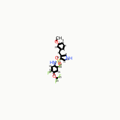 COc1cccc(Cc2c[nH]cc2S(=O)(=O)Nc2cc(F)c(OC(F)F)cc2F)c1